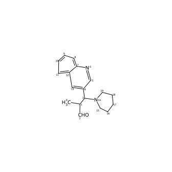 CC(C=O)C(c1cnc2ccccc2c1)N1CCCCC1